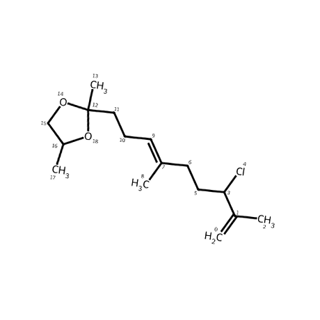 C=C(C)C(Cl)CC/C(C)=C/CCC1(C)OCC(C)O1